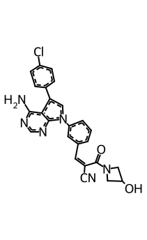 N#C/C(=C/c1cccc(-n2cc(-c3ccc(Cl)cc3)c3c(N)ncnc32)c1)C(=O)N1CC(O)C1